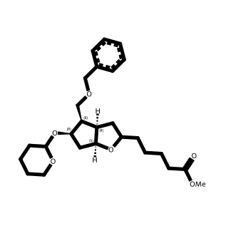 COC(=O)CCCCC1C[C@@H]2[C@H](COCc3ccccc3)[C@H](OC3CCCCO3)C[C@@H]2O1